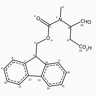 CN(C(=O)OCC1c2ccccc2-c2ccccc21)C(C=O)CC(=O)O